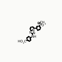 CS(=O)(=O)c1cccc(-c2cccc3nc(Nc4ccc(C(=O)O)cc4)nn23)c1